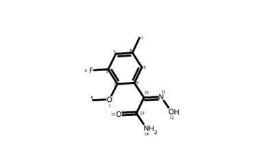 COc1c(F)cc(C)cc1C(=NO)C(N)=O